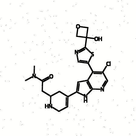 CN(C)C(=O)CC1CC(c2cc3c(-c4cnc(C5(O)COC5)s4)c(Cl)cnc3[nH]2)=CCN1